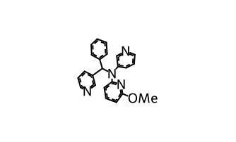 COc1cccc(N(c2cccnc2)C(c2ccccc2)c2cccnc2)n1